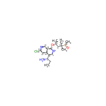 CCC(N)c1cnc(OC(C)CC(C)(C)[S+](C)[O-])c2cnc(Cl)cc12